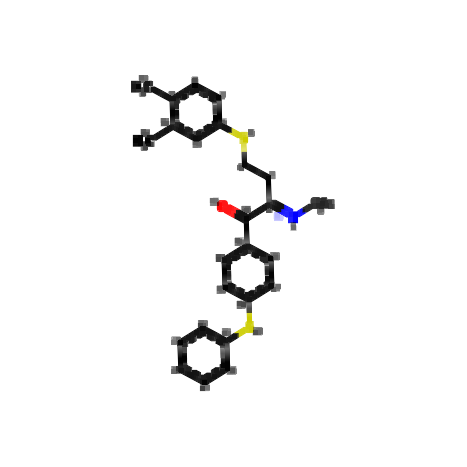 CC(=O)O/N=C(\CCSc1ccc(C)c(C)c1)C(=O)c1ccc(Sc2ccccc2)cc1